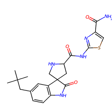 CC(C)(C)Cc1ccc2c(c1)C1(CNC(C(=O)Nc3nc(C(N)=O)cs3)C1)C(=O)N2